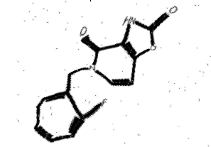 O=c1[nH]c2c(=O)n(Cc3ccccc3F)ccc2o1